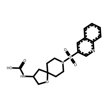 O=C(O)NC1COC2(CCN(S(=O)(=O)c3cnc4ccccc4c3)CC2)C1